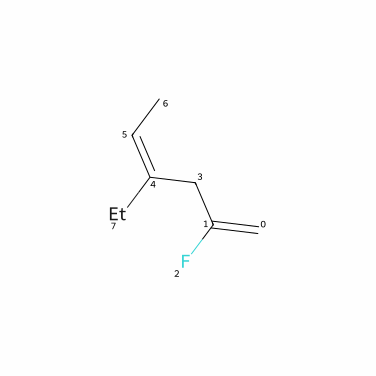 C=C(F)C/C(=C\C)CC